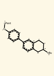 CCCCCOc1ccc(-c2ccc3c(c2)CCC(CCCC)C3)cc1